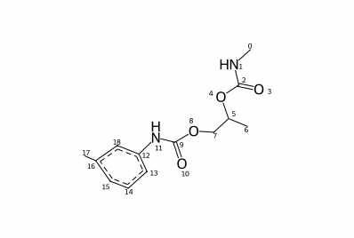 CNC(=O)OC(C)COC(=O)Nc1cccc(C)c1